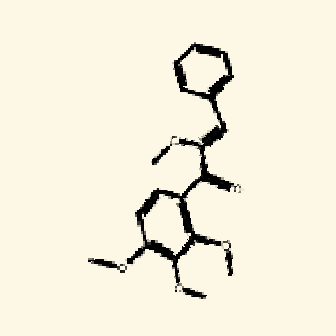 COC(=Cc1ccccc1)C(=O)c1ccc(OC)c(OC)c1OC